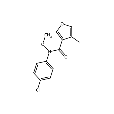 CON(C(=O)c1cocc1I)c1ccc(Cl)cc1